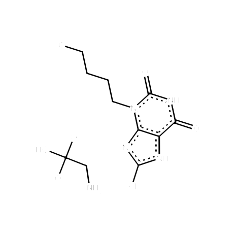 CCCCCn1c(=O)[nH]c(=O)c2[nH]c(Cl)nc21.NCC(O)(O)O